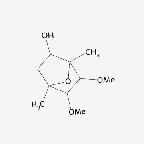 COC1C(OC)C2(C)OC1(C)CC2O